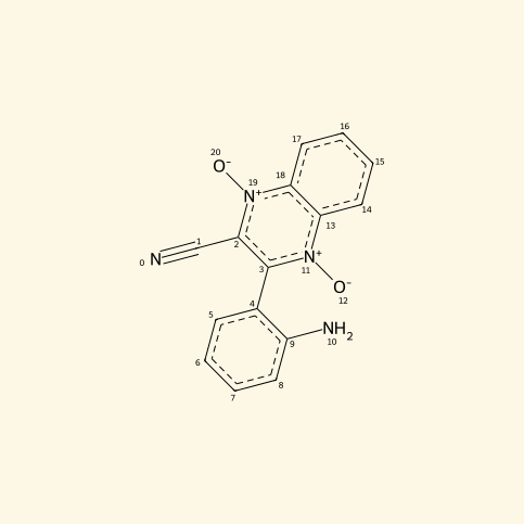 N#Cc1c(-c2ccccc2N)[n+]([O-])c2ccccc2[n+]1[O-]